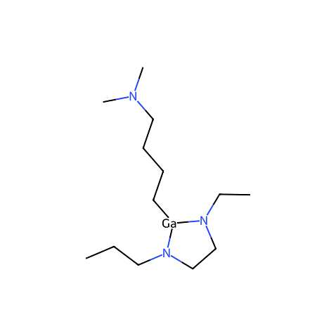 CCC[N]1CC[N](CC)[Ga]1[CH2]CCCN(C)C